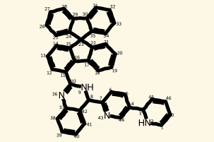 C1=CNC(c2ccc(C3NC(c4cccc5c4-c4ccccc4C54c5ccccc5-c5ccccc54)=Nc4ccccc43)nc2)C=C1